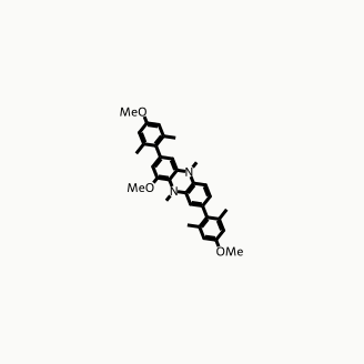 COc1cc(C)c(-c2ccc3c(c2)N(C)c2c(OC)cc(-c4c(C)cc(OC)cc4C)cc2N3C)c(C)c1